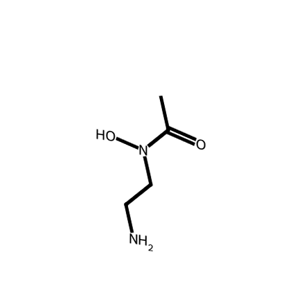 CC(=O)N(O)CCN